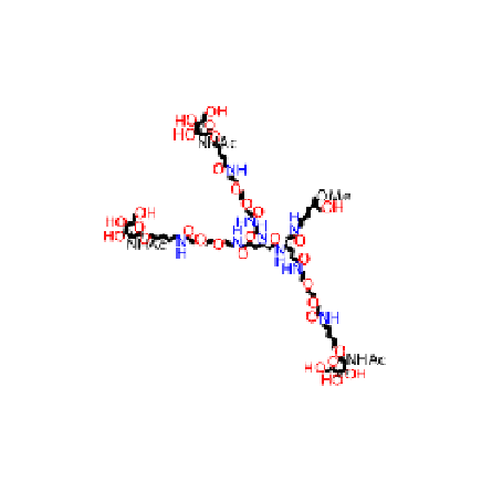 COCC(CO)CCCCNC(=O)C[C@H](CCC(=O)NCCOCCOCC(=O)NCCCCCO[C@@H]1OC(CO)[C@@H](O)[C@H](O)C1NC(C)=O)NC(=O)C[C@H](CCC(=O)NCCOCCOCC(=O)NCCCCCO[C@@H]1OC(CO)[C@@H](O)[C@H](O)C1NC(C)=O)NC(=O)CNC(=O)COCCOCCNC(=O)CCCCO[C@@H]1OC(CO)[C@@H](O)[C@H](O)C1NC(C)=O